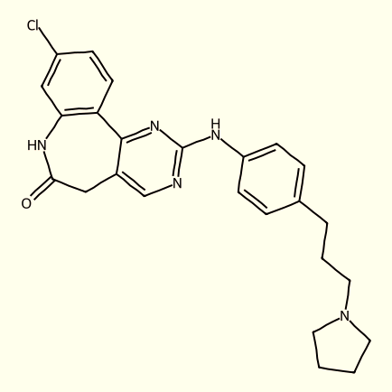 O=C1Cc2cnc(Nc3ccc(CCCN4CCCC4)cc3)nc2-c2ccc(Cl)cc2N1